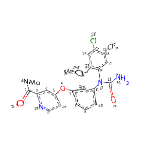 CNC(=O)c1cc(Oc2cccc(N(C(N)=O)c3cc(C(F)(F)F)c(Cl)cc3OC)c2)ccn1